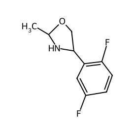 CC1NC(c2cc(F)ccc2F)CO1